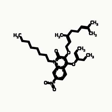 CC=C(CC)Oc1c(OC/C=C(\C)CCC=C(C)C)c(=O)n(CCCCCCCC)c2cc([N+](=O)[O-])ccc12